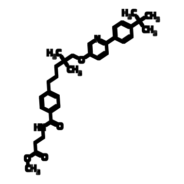 COC(=O)CCNC(=O)c1ccc(CCCC(C)(C)COc2ccc(-c3ccc(C(C)(C)C)cc3)nc2)cc1